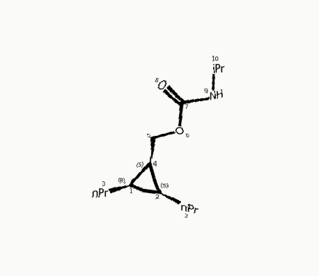 CCC[C@@H]1[C@H](CCC)[C@@H]1COC(=O)NC(C)C